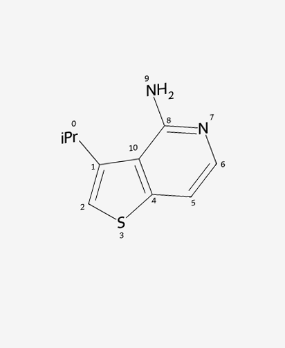 CC(C)c1csc2ccnc(N)c12